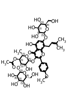 COc1ccc(-c2oc3c(CC=C(C)C)c(O[C@@H]4O[C@H](CO)[C@@H](O)[C@H](O)[C@H]4O)cc(O)c3c(=O)c2O[C@@H]2O[C@@H](C)[C@H](OC(C)=O)[C@@H](O[C@@H]3O[C@H](CO)[C@@H](O)[C@H](O)[C@H]3O)[C@H]2O)cc1